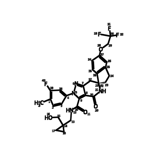 Cc1ccc(-n2nc3c(c2C(=O)NCC2(CO)CC2)C(=O)N[C@@]2(CCc4cc(OCC(F)(F)F)ccc42)C3)cc1F